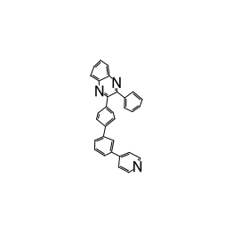 c1ccc(-c2nc3ccccc3nc2-c2ccc(-c3cccc(-c4ccncc4)c3)cc2)cc1